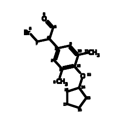 Cc1cc(C(C=O)CBr)cc(C)c1OC1CCCC1